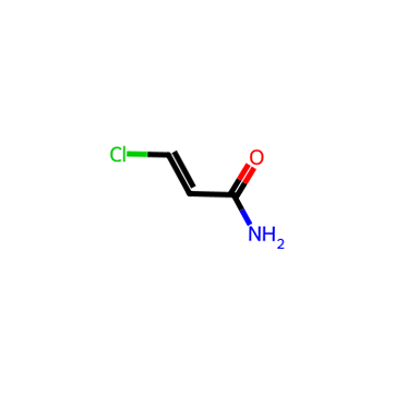 NC(=O)C=CCl